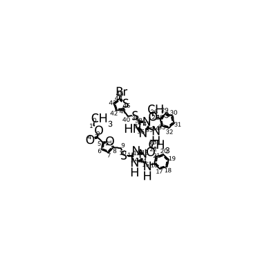 CCOC(=O)c1ccc(CSc2nnc(Nc3ccccc3OC)[nH]2)o1.COc1ccccc1Nc1n[nH]c(SCc2ccc(Br)s2)n1